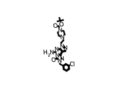 CC(C)(C)OC(=O)N1CCN(CCn2ncc3c2nc(N)n2c(=O)n(Cc4cccc(Cl)c4)nc32)CC1